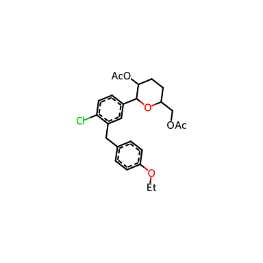 CCOc1ccc(Cc2cc(C3OC(COC(C)=O)CCC3OC(C)=O)ccc2Cl)cc1